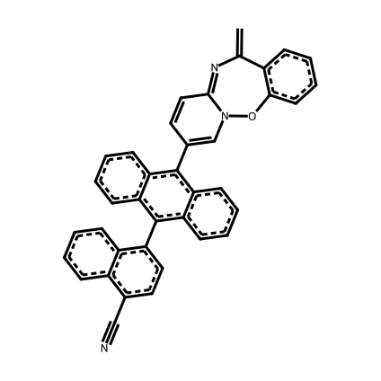 C=C1N=C2C=CC(c3c4ccccc4c(-c4ccc(C#N)c5ccccc45)c4ccccc34)=CN2Oc2ccccc21